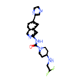 O=C(Nc1cc2cc(-c3cnccn3)ccc2cn1)N1CCC(NCC(F)F)CC1